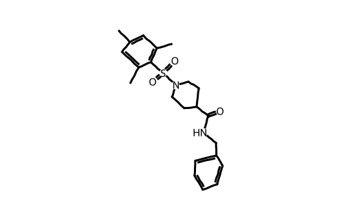 Cc1cc(C)c(S(=O)(=O)N2CCC(C(=O)NCc3ccccc3)CC2)c(C)c1